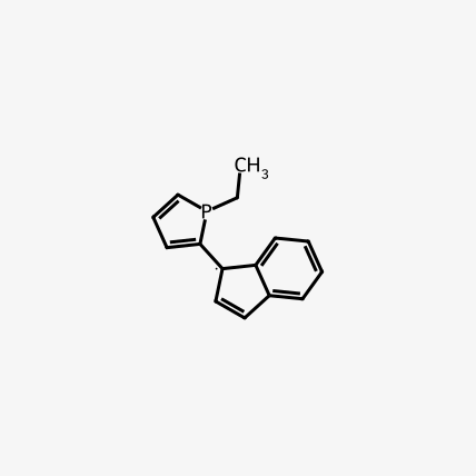 CCp1cccc1[C]1C=Cc2ccccc21